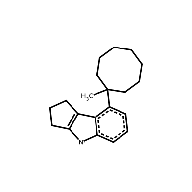 CC1(c2cccc3c2C2=C(CCC2)[N]3)CCCCCCC1